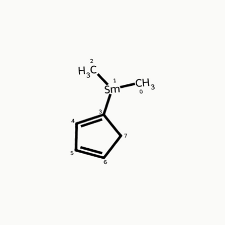 [CH3][Sm]([CH3])[C]1=CC=CC1